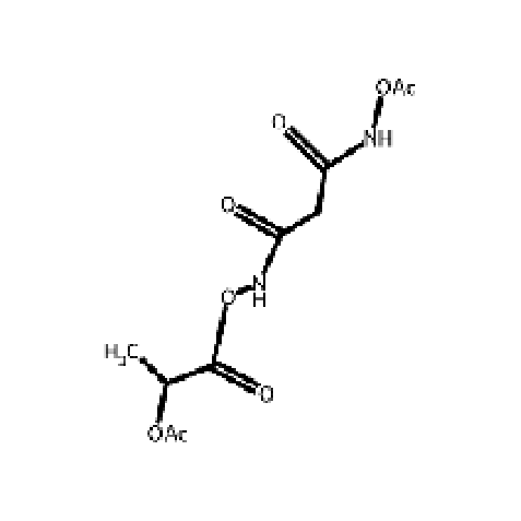 CC(=O)ONC(=O)CC(=O)NOC(=O)C(C)OC(C)=O